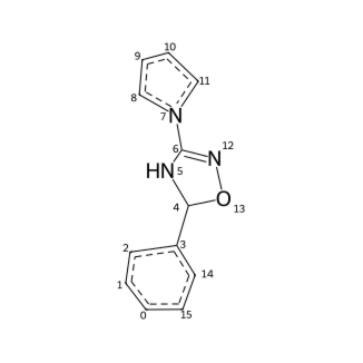 c1ccc(C2NC(n3cccc3)=NO2)cc1